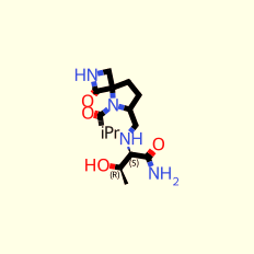 CC(C)C(=O)N1C(CN[C@H](C(N)=O)[C@@H](C)O)CCC12CNC2=O